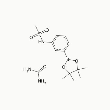 CC1(C)OB(c2cccc(NS(C)(=O)=O)c2)OC1(C)C.NC(N)=O